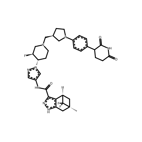 C[C@@]12Cc3[nH]nc(C(=O)Nc4cnn([C@H]5CCN(C[C@H]6CCN(c7ccc(C8CCC(=O)NC8=O)cc7)C6)C[C@@H]5F)c4)c3[C@@H](C1)C2(F)F